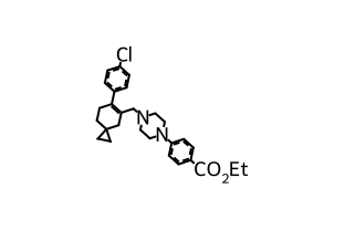 CCOC(=O)c1ccc(N2CCN(CC3=C(c4ccc(Cl)cc4)CCC4(CC4)C3)CC2)cc1